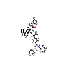 CC1(C)c2cc(-c3ccc(-c4cc(-c5ccccc5)cc(-c5ccccc5)n4)cc3)ccc2-c2c1ccc1c2oc2ccccc21